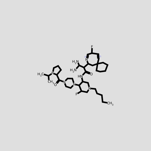 CCCCCN1CC(F)C(N2CCN(C(=O)C3CCCN3C(C)C)CC2)C(NC(=O)C(C(N)N)C2CC3(/C=C\C(F)/C=N\2)CCCCC3)C1